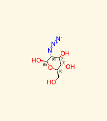 [N-]=[N+]=N[C@@H]1[C@@H](O)[C@H](O)[C@@H](CO)O[C@H]1O